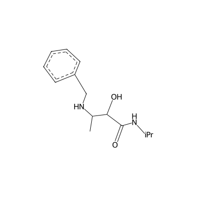 CC(C)NC(=O)C(O)C(C)NCc1ccccc1